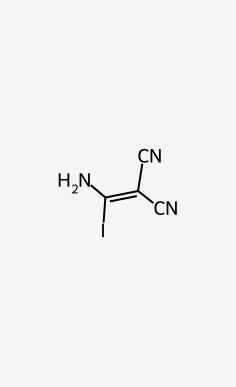 N#CC(C#N)=C(N)I